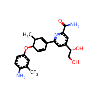 CC1C=C(c2cc([C@H](O)CO)cc(C(N)=O)n2)C=CC1Oc1ccc(N)c(C(F)(F)F)c1